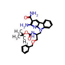 CC(C)(C)OC(=O)NC(COCc1ccccc1)Cn1c2ccccc2c2cc(C(N)=O)c(N)nc21